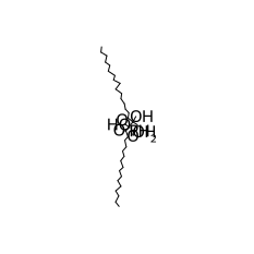 CCCCCCCCCCCCCCCC(=O)C(O)(CO)C(O)([PH2]=O)C(=O)CCCCCCCCCCCCCCC